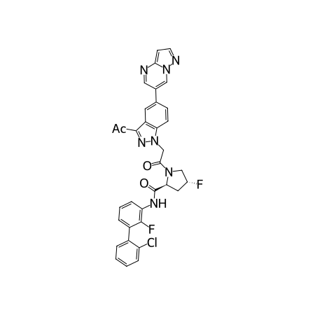 CC(=O)c1nn(CC(=O)N2C[C@H](F)C[C@H]2C(=O)Nc2cccc(-c3ccccc3Cl)c2F)c2ccc(-c3cnc4ccnn4c3)cc12